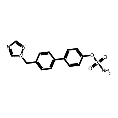 NS(=O)(=O)Oc1ccc(-c2ccc(Cn3cncn3)cc2)cc1